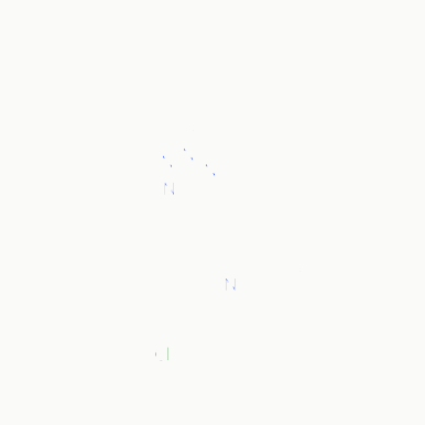 Clc1cccc(Cn2c3ccccc3c3cc(-c4nnn(C(c5ccccc5)(c5ccccc5)c5ccccc5)n4)ccc32)c1